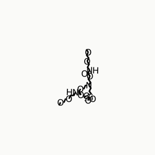 COCCOCCNC(=O)OCCN(CCC[Si](OC)(OC)OC)CCOC(=O)NCCOCCOC